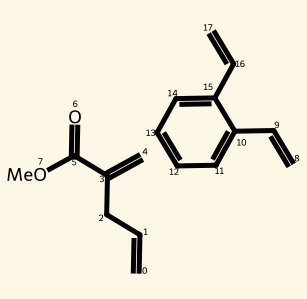 C=CCC(=C)C(=O)OC.C=Cc1ccccc1C=C